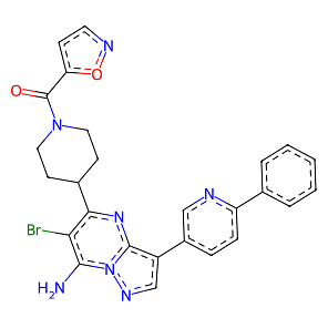 Nc1c(Br)c(C2CCN(C(=O)c3ccno3)CC2)nc2c(-c3ccc(-c4ccccc4)nc3)cnn12